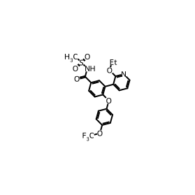 CCOc1ncccc1-c1cc(C(=O)NS(C)(=O)=O)ccc1Oc1ccc(OC(F)(F)F)cc1